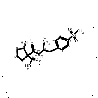 CS(=O)(=O)c1ccc(C[C@H](N)[C@@H](O)C(=O)C2(C(=O)O)CCCC2N)cc1